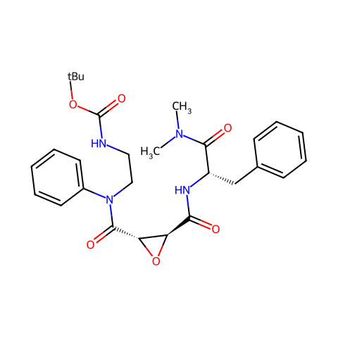 CN(C)C(=O)[C@H](Cc1ccccc1)NC(=O)[C@H]1O[C@@H]1C(=O)N(CCNC(=O)OC(C)(C)C)c1ccccc1